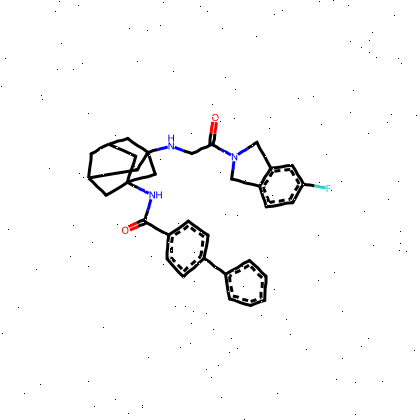 O=C(NC12CC3CC(CC(NCC(=O)N4Cc5ccc(F)cc5C4)(C3)C1)C2)c1ccc(-c2ccccc2)cc1